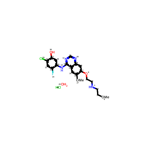 COCCNCCOc1cc2ncnc(Nc3cc(O)c(Cl)cc3F)c2cc1OC.Cl.O